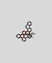 CC(C)(C)[Si](C)(C)c1ccc2c(ccc3ccccc32)c1-c1ccc2ccccc2c1-c1ccccc1-c1cccc2c3ccccc3c3ccc4ccccc4c3c12